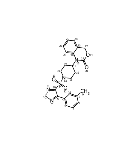 Cc1cccc(-c2nsnc2S(=O)(=O)N2CCC(N3C(=O)OCc4ccccc43)CC2)c1